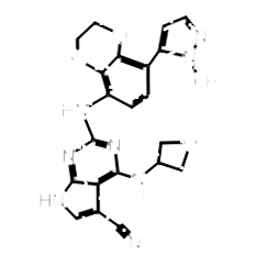 Cn1nccc1-c1ccc(Nc2nc(NC3COC3)c3c(C#N)c[nH]c3n2)c2c1OCCO2